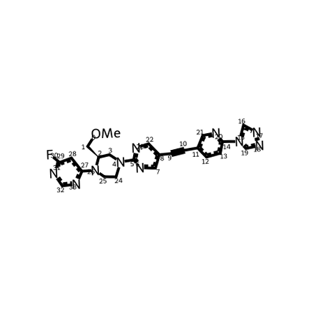 COC[C@H]1CN(c2ncc(C#Cc3ccc(-n4cnnc4)nc3)cn2)CCN1c1cc(F)ncn1